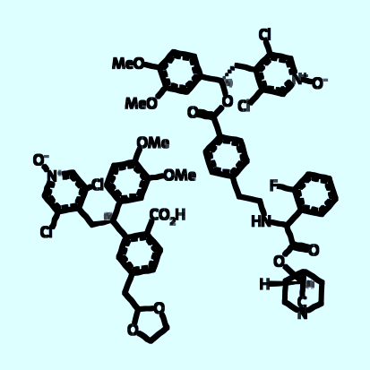 COc1ccc([C@H](Cc2c(Cl)c[n+]([O-])cc2Cl)OC(=O)c2ccc(CCNC(C(=O)O[C@H]3CN4CCC3CC4)c3ccccc3F)cc2)cc1OC.COc1ccc([C@H](Cc2c(Cl)c[n+]([O-])cc2Cl)c2cc(CC3OCCO3)ccc2C(=O)O)cc1OC